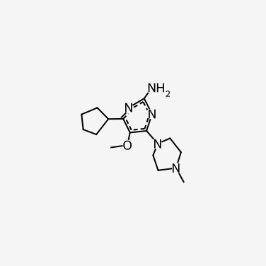 COc1c(C2CCCC2)nc(N)nc1N1CCN(C)CC1